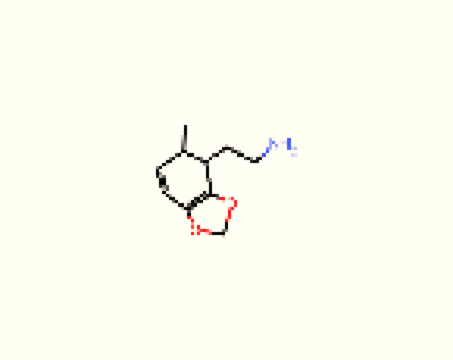 CC1C=CC2=C(OCO2)C1CCN